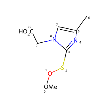 COOSc1nc(C)cn1CC(=O)O